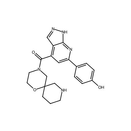 O=C(c1cc(-c2ccc(O)cc2)nc2[nH]ncc12)N1CCOC2(CCCNC2)C1